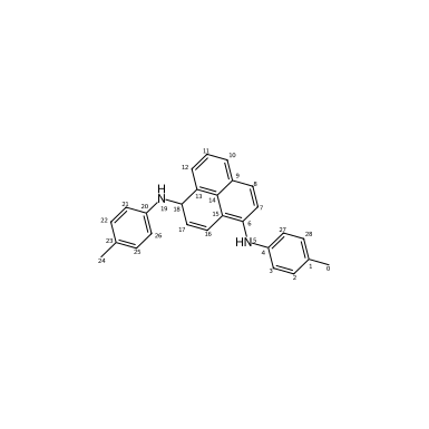 Cc1ccc(Nc2ccc3cccc4c3c2C=CC4Nc2ccc(C)cc2)cc1